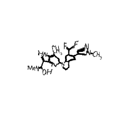 CNC(O)c1c[nH]c2c(C)cc(N3CCCc4cc(-c5cnn(C)c5)c(C(F)F)cc43)nc12